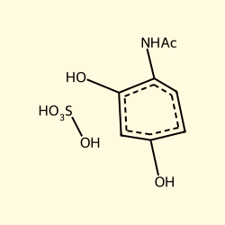 CC(=O)Nc1ccc(O)cc1O.O=S(=O)(O)O